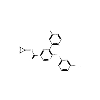 O=C(NC1CC1)c1cnc(Oc2cccc(C(F)(F)F)c2)c(-c2cccc(F)c2)c1